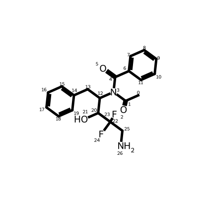 CC(=O)N(C(=O)c1ccccc1)C(Cc1ccccc1)C(O)C(F)(F)CN